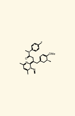 C=NN1C(C)=CC(C)=N/C1=C(\CC(=O)N(C)c1ccc(F)cc1)CC1=CC=C(OC)[C@@H](C)C1